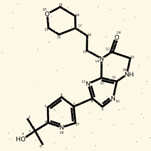 CC(C)(O)c1ccc(-c2cnc3c(n2)N(CCC2CCOCC2)C(=O)CN3)cn1